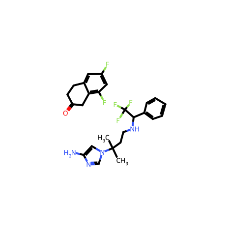 CC(C)(CCNC(c1ccccc1)C(F)(F)F)n1cnc(N)c1.O=C1CCc2cc(F)cc(F)c2C1